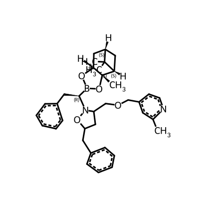 Cc1cc(COCC2CC(Cc3ccccc3)ON2[C@@H](Cc2ccccc2)B2O[C@@H]3C[C@@H]4C[C@@H](C4(C)C)[C@]3(C)O2)ccn1